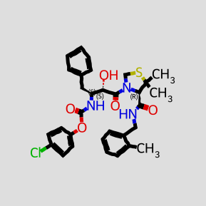 Cc1ccccc1CNC(=O)[C@H]1N(C(=O)[C@@H](O)[C@H](Cc2ccccc2)NC(=O)Oc2ccc(Cl)cc2)CSC1(C)C